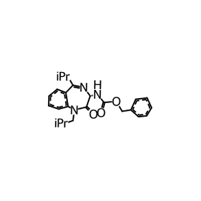 CC(C)CN1C(=O)[C@@H](NC(=O)OCc2ccccc2)N=C(C(C)C)c2ccccc21